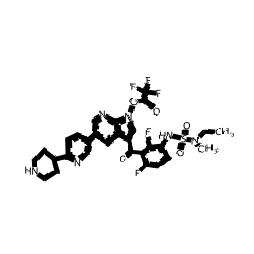 CCN(C)S(=O)(=O)Nc1ccc(F)c(C(=O)c2cn(OC(=O)C(F)(F)F)c3ncc(-c4ccc(C5CCNCC5)nc4)cc23)c1F